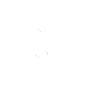 Cc1c(Cl)cccc1Cn1cnc2c(Br)cc([N+](=O)[O-])cc21